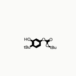 CC(C)(C)OC(=O)Oc1ccc(C(C)(C)C)c(O)c1